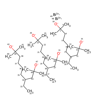 CCC(CCCCC(C)(C)[O-])CC(C)(C)[O-].CCC(CCCCC(C)(C)[O-])CC(C)(C)[O-].CCC(CCCCC(C)(C)[O-])CC(C)(C)[O-].[Bi+3].[Bi+3]